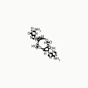 Nc1nc2c(ncn2[C@@H]2S[C@@H]3CO[PH](=O)O[C@H]4[C@@H](O)[C@H](n5cnc6c(N)ncnc65)[C@H]5C[C@@]54COP(=O)(O)O[C@@H]2[C@@H]3O)c(=O)[nH]1